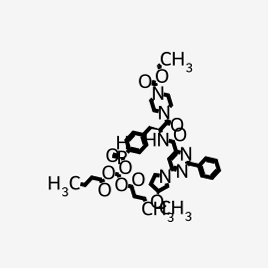 CCCC(=O)OC(OC(=O)CCC)O[PH](=O)c1ccc(C[C@H](NC(=O)c2cc(N3CC[C@H](OC)C3)nc(-c3ccccc3)n2)C(=O)N2CCN(C(=O)OCC)CC2)cc1